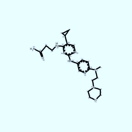 CN(CCN1CCOCC1)c1ccc(Nc2ncc(C3CC3)c([AsH]CCC(N)=O)n2)cn1